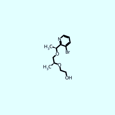 C[C@H](OC[C@H](C)OCCO)c1ncccc1Br